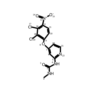 CNC(=O)Nc1cc(Oc2ccc([N+](=O)[O-])c(Cl)c2Cl)ccn1